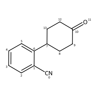 N#Cc1ccccc1C1CCC(=O)CC1